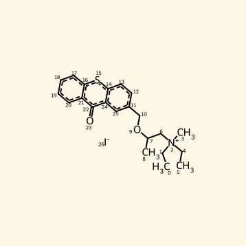 CC[N+](C)(CC)CC(C)OCc1ccc2sc3ccccc3c(=O)c2c1.[I-]